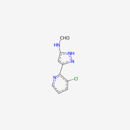 O=CNc1cc(-c2ncccc2Cl)n[nH]1